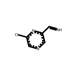 N=Cc1cncc(Cl)n1